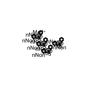 CCCCCCCCCc1ccccc1OP(=S)([S-])Oc1ccccc1CCCCCCCCC.CCCCCCCCCc1ccccc1OP(=S)([S-])Oc1ccccc1CCCCCCCCC.CCCCCCCCCc1ccccc1OP(=S)([S-])Oc1ccccc1CCCCCCCCC.CCCCCCCCCc1ccccc1OP(=S)([S-])Oc1ccccc1CCCCCCCCC.[Mo+4]